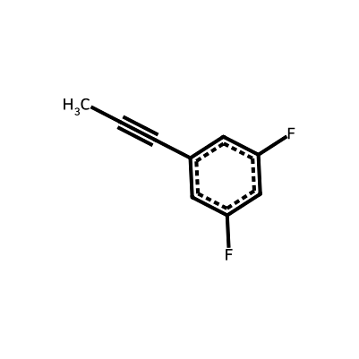 CC#Cc1cc(F)cc(F)c1